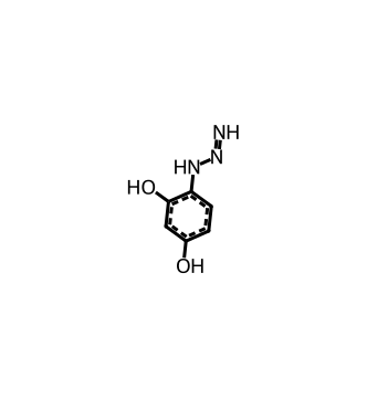 N=NNc1ccc(O)cc1O